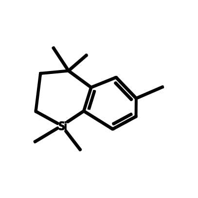 Cc1ccc2c(c1)C(C)(C)CC[Si]2(C)C